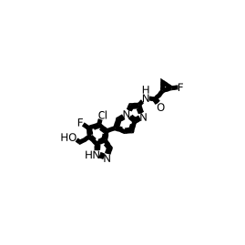 O=C(Nc1cn2cc(-c3c(Cl)c(F)c(CO)c4[nH]ncc34)ccc2n1)C1CC1F